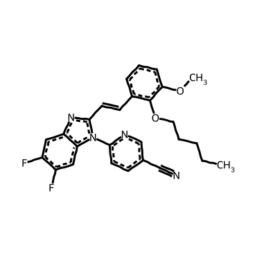 CCCCCOc1c(/C=C/c2nc3cc(F)c(F)cc3n2-c2ccc(C#N)cn2)cccc1OC